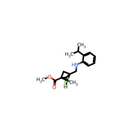 COC(=O)C12CC(CNc3ccccc3C(C)C)([C@@H]1C)C2(F)F